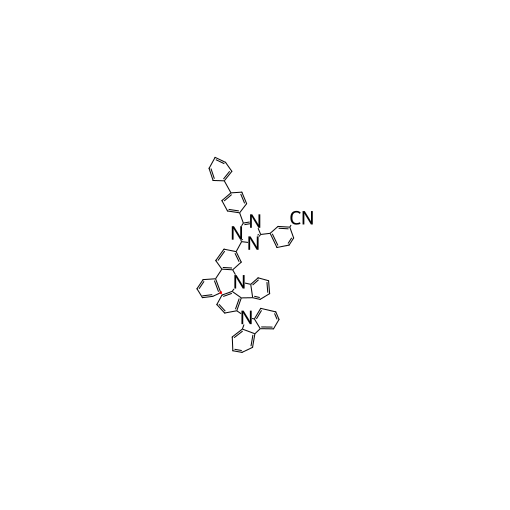 N#Cc1cccc(-c2nc(-c3ccc(-c4ccccc4)cc3)nc(-c3ccc(-c4ccccc4)c(-n4c5ccccc5c5c(-n6c7ccccc7c7ccccc76)cccc54)c3)n2)c1